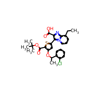 CCc1cccn2c(-c3cc(OC(C)c4ccccc4Cl)c(C(=O)OC(C)(C)C)s3)c(C(=O)O)nc12